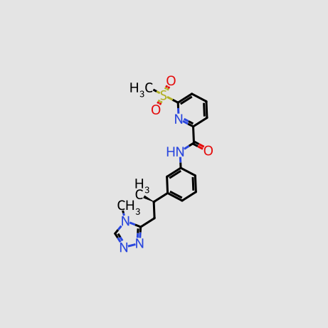 C[C@H](Cc1nncn1C)c1cccc(NC(=O)c2cccc(S(C)(=O)=O)n2)c1